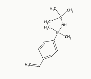 C=Cc1ccc([Si](C)(C)NS(C)(C)C)cc1